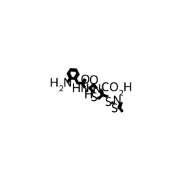 Cc1cnc(SCC2=C(C(=O)O)N3C(=O)C(NC(=O)Cc4ccccc4N)[C@@H]3SC2)s1